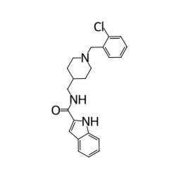 O=C(NCC1CCN(Cc2ccccc2Cl)CC1)c1cc2ccccc2[nH]1